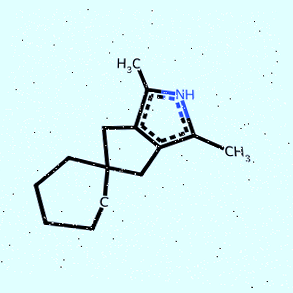 Cc1[nH]c(C)c2c1CC1(CCCCC1)C2